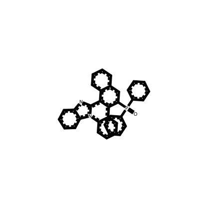 O=P(c1ccccc1)(c1ccccc1)c1cc2ccccc2c2c1c1ccccc1n1c3ccccc3nc21